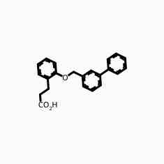 O=C(O)CCc1ccccc1OCc1cccc(-c2ccccc2)c1